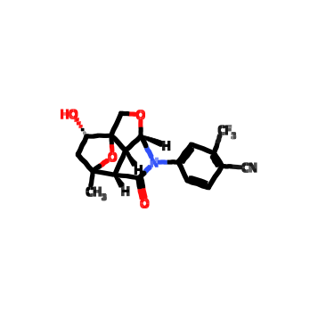 CC12C[C@H](O)C3(CO[C@H]4[C@@H]3[C@@H]1C(=O)N4c1ccc(C#N)c(C(F)(F)F)c1)O2